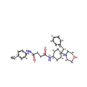 CC(C)(C)c1ccc(NC(=O)CCC(=O)NC2CCC(Cc3ccccc3)(N3CCOCC3)CC2)cc1